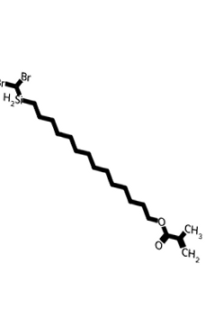 C=C(C)C(=O)OCCCCCCCCCCCCCC[SiH2]C(Br)Br